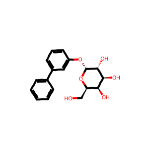 OC[C@H]1O[C@H](Oc2cccc(-c3ccccc3)c2)[C@H](O)[C@@H](O)[C@H]1O